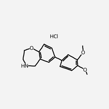 COc1ccc(-c2ccc3c(c2)CNCCO3)cc1OC.Cl